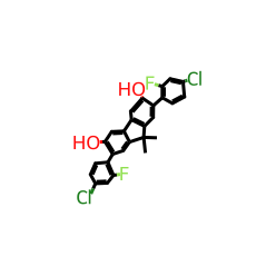 CC1(C)c2cc(-c3ccc(Cl)cc3F)c(O)cc2-c2cc(O)c(-c3ccc(Cl)cc3F)cc21